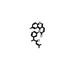 CC(C)=CC(=O)C(C)c1cccc(-n2c(=O)ccc3cnc4ccc(C)cc4c32)c1